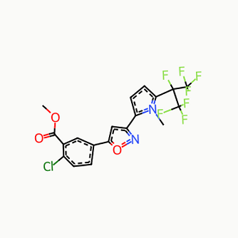 COC(=O)c1cc(-c2cc(-c3ccc(C(F)(C(F)(F)F)C(F)(F)F)n3C)no2)ccc1Cl